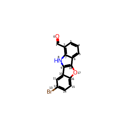 O=Cc1cccc2c1[nH]c1c3cc(Br)ccc3oc21